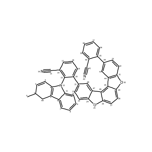 CC1C=Cc2c(c3ccccc3n2-c2c(C#N)cccc2-c2ccc3oc4ccc5oc6ccc(-c7ccccc7C#N)cc6c5c4c3c2)C1